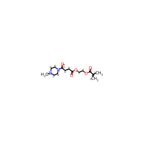 C=C(C)C(=O)OCCOC(=O)CCC(=O)N1CCN(C)CC1